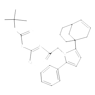 CC(C)(C)OC(=O)N/C(N)=N/C(=O)Cn1c(-c2ccccc2)ccc1C12CC=CC(CCC1)C2